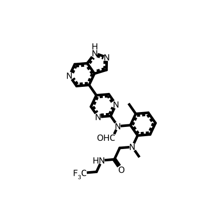 Cc1cccc(N(C)CC(=O)NCC(F)(F)F)c1N(C=O)c1ncc(-c2cncc3[nH]ncc23)cn1